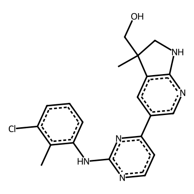 Cc1c(Cl)cccc1Nc1nccc(-c2cnc3c(c2)C(C)(CO)CN3)n1